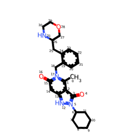 Cc1c2c(=O)n(C3CCCCC3)[nH]c2cc(=O)n1Cc1ccccc1CC1COCCN1